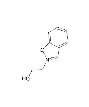 OCC[n+]1cc2ccccc2o1